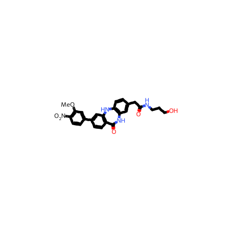 COc1cc(-c2ccc3c(c2)Nc2ccc(CC(=O)NCCCO)cc2NC3=O)ccc1[N+](=O)[O-]